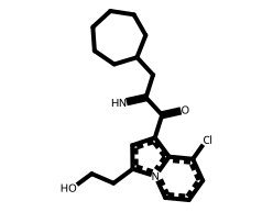 N=C(CC1CCCCCC1)C(=O)c1cc(CCO)n2cccc(Cl)c12